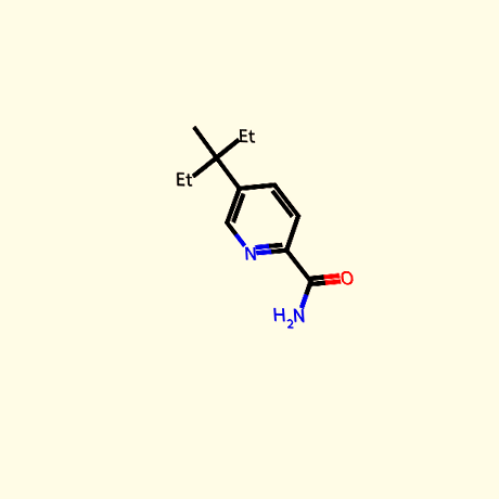 CCC(C)(CC)c1ccc(C(N)=O)nc1